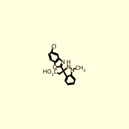 CN1NC(CC(=O)O)(c2nc3cc(Cl)ccc3o2)c2ccccc21